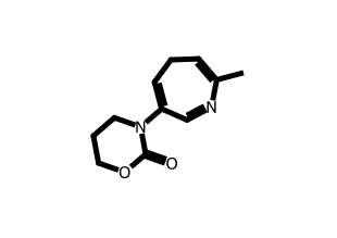 CC1=CCC=C(N2CCCOC2=O)C=N1